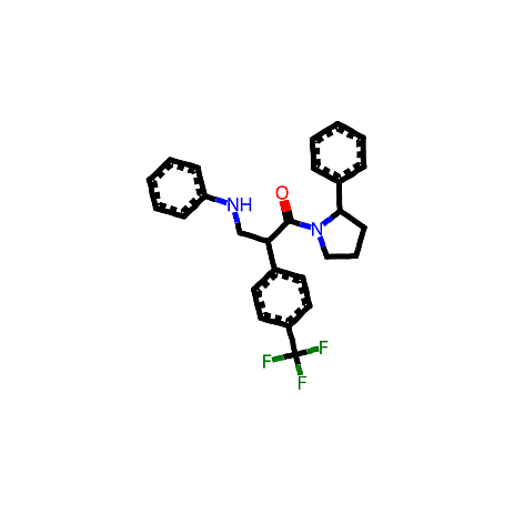 O=C(C(CNc1ccccc1)c1ccc(C(F)(F)F)cc1)N1CCCC1c1ccccc1